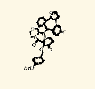 CC(=O)Oc1ccc(COc2c3n(ccc2=O)N(C2c4ccc(F)cc4-c4ccsc4-c4ccccc42)C2COCCN2C3=O)cc1